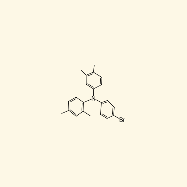 Cc1ccc(N(c2ccc(Br)cc2)c2ccc(C)c(C)c2)c(C)c1